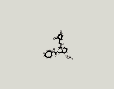 O=C(NCC1CCCCN1C(=O)NCc1ccc(Cl)cc1Cl)N[C]1CCCCCCC1.[CH2].[CH2]